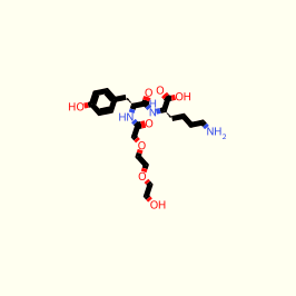 NCCCC[C@H](NC(=O)[C@@H](Cc1ccc(O)cc1)NC(=O)COCCOCCO)C(=O)O